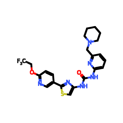 O=C(Nc1cccc(CN2CCCCC2)n1)Nc1csc(-c2ccc(OCC(F)(F)F)nc2)n1